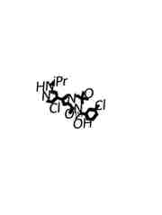 CC(C)Nc1cc(-c2cc3n(c2)CC2(COC2)CN([C@H](CO)c2cccc(Cl)c2)C3=O)c(Cl)cn1